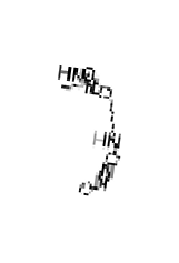 C=CCCC(C(=O)NC)N1Cc2cc(CCCCCCCNCc3ccc(N4CCN(Cc5ccccc5)CC4)cc3)ccc2C1=C